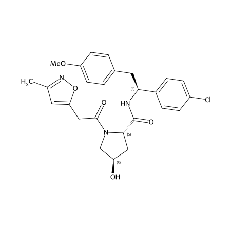 COc1ccc(C[C@H](NC(=O)[C@@H]2C[C@@H](O)CN2C(=O)Cc2cc(C)no2)c2ccc(Cl)cc2)cc1